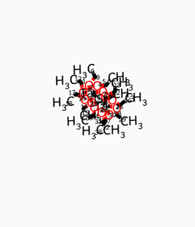 CC[O][Ta]([O]CC)([O]CC)([O]CC)([O]CC)([O]CC)[Sr][Ta]([O]CC)([O]CC)([O]CC)([O]CC)([O]CC)[O]CC